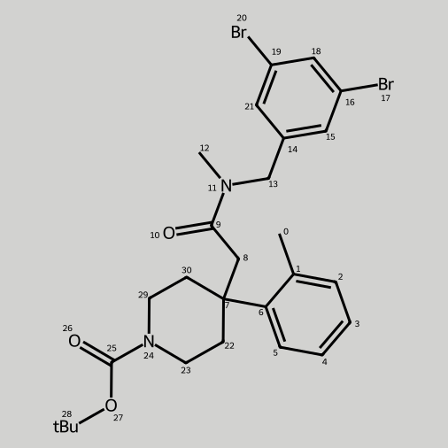 Cc1ccccc1C1(CC(=O)N(C)Cc2cc(Br)cc(Br)c2)CCN(C(=O)OC(C)(C)C)CC1